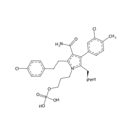 CCC[C@H](C)Cc1c(-c2ccc(C)c(Cl)c2)c(C(N)=O)c(CCc2ccc(Cl)cc2)n1CCCOP(=O)(O)O